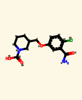 NC(=O)c1cc(OCC2CCCN(C(=O)O)C2)ccc1Cl